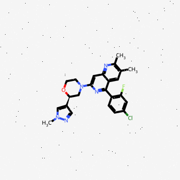 Cc1cc2c(-c3ccc(Cl)cc3F)nc(N3CCO[C@H](c4cnn(C)c4)C3)cc2nc1C